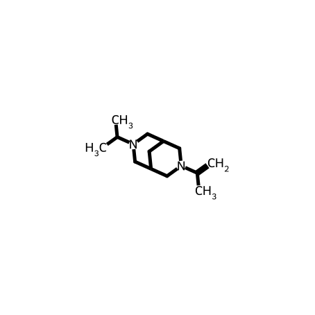 C=C(C)N1CC2CC(C1)CN(C(C)C)C2